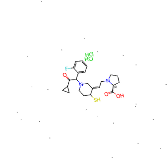 Cl.Cl.O=C(C1CC1)C(c1ccccc1F)N1CCC(S)C(=CCN2CCC[C@H]2C(=O)O)C1